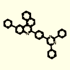 c1ccc(-c2ccc3nc(-c4ccc(-c5cc(-c6ccccc6)nc(-c6ccccc6)n5)cc4)c4ccc5ccccc5c4c3c2)cc1